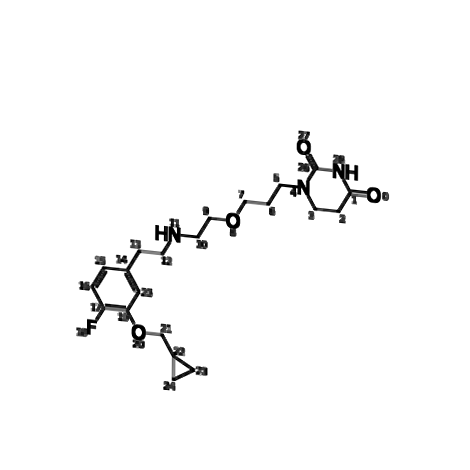 O=C1CCN(CCCOCCNCCc2ccc(F)c(OCC3CC3)c2)C(=O)N1